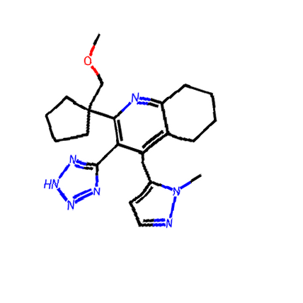 COCC1(c2nc3c(c(-c4ccnn4C)c2-c2nn[nH]n2)CCCC3)CCCC1